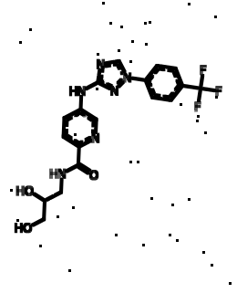 O=C(NCC(O)CO)c1ccc(Nc2ncn(-c3ccc(C(F)(F)F)cc3)n2)cn1